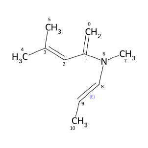 C=C(C=C(C)C)N(C)/C=C/C